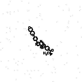 CC1(C(=O)N2CCC(O)(Cn3cnc4c(cnn4-c4ccc(N5CCC6(CCOCC6)CC5)cc4)c3=O)CC2)CC1